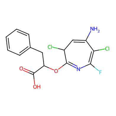 NC1=CC(Cl)C(OC(Cc2ccccc2)C(=O)O)=NC(F)=C1Cl